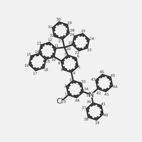 Clc1cc(-c2ccc3c(c2)-c2c(ccc4ccccc24)C3(c2ccccc2)c2ccccc2)cc(N(c2ccccc2)c2ccccc2)c1